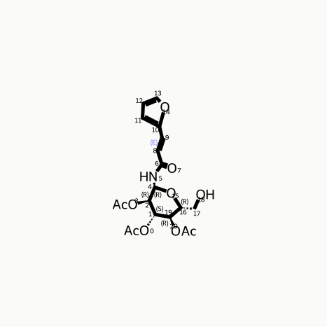 CC(=O)O[C@@H]1[C@@H](OC(C)=O)[C@H](NC(=O)/C=C/c2ccco2)O[C@H](CO)[C@H]1OC(C)=O